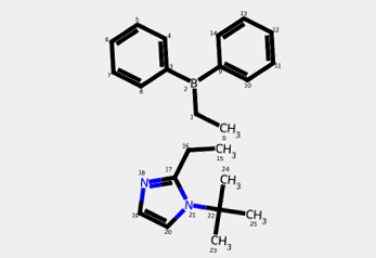 CCB(c1ccccc1)c1ccccc1.CCc1nccn1C(C)(C)C